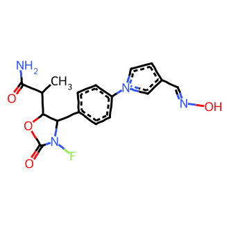 CC(C(N)=O)C1OC(=O)N(F)C1c1ccc(-n2ccc(C=NO)c2)cc1